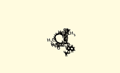 C[C@@H]1CCC=C[C@@H]2C[C@@]2(C(=O)NS(=O)(=O)C2(C)CC2)NC(=O)[C@@H]2C[C@@H](Oc3ncc(OC4CC4)c4ccccc34)CN2C(=O)[C@@H](NC(=O)O)[C@H](C)C1